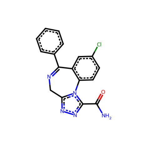 NC(=O)c1nnc2n1-c1ccc(Cl)cc1C(c1ccccc1)=NC2